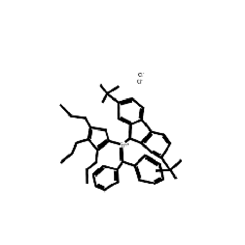 CCCC1=C(CCC)C(CCC)=[C]([Zr+2](=[C](c2ccccc2)c2ccccc2)[CH]2c3cc(C(C)(C)C)ccc3-c3ccc(C(C)(C)C)cc32)C1.[Cl-].[Cl-]